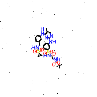 Cc1cnc(Nc2cccc(S(=O)(=O)NC(=O)CNC(=O)OC(C)(C)C)c2)nc1Nc1cccc(CNS(=O)(=O)C2CC2)c1